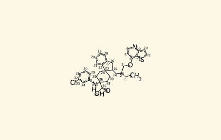 CC[C@@H](COc1ccnc2ccsc12)CC1Cc2ccccc2C12CCC(Nc1cccc(Cl)c1)(C(=O)O)CC2